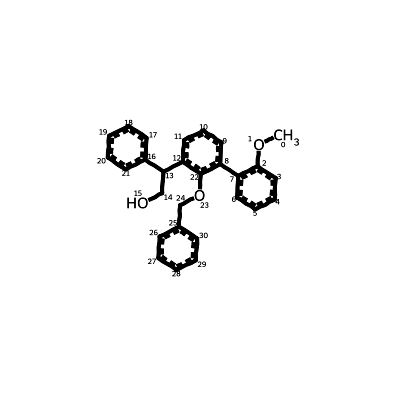 COc1ccccc1-c1cccc(C(CO)c2ccccc2)c1OCc1ccccc1